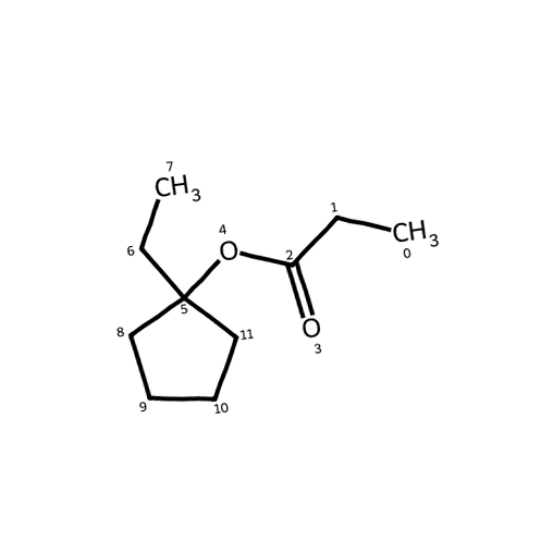 CCC(=O)OC1(CC)CCCC1